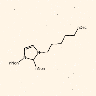 CCCCCCCCCCCCCCCN1C=CN(CCCCCCCCC)C1CCCCCCCCC